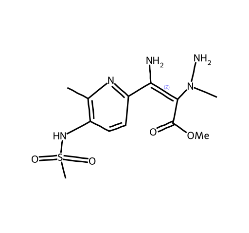 COC(=O)/C(=C(/N)c1ccc(NS(C)(=O)=O)c(C)n1)N(C)N